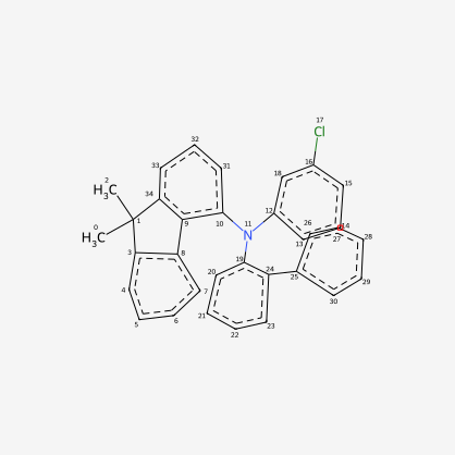 CC1(C)c2ccccc2-c2c(N(c3cccc(Cl)c3)c3ccccc3-c3ccccc3)cccc21